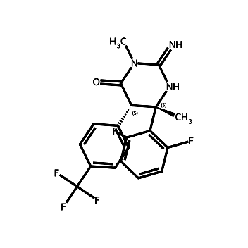 CN1C(=N)N[C@](C)(c2c(F)cccc2F)[C@H](c2ccc(C(F)(F)F)cc2)C1=O